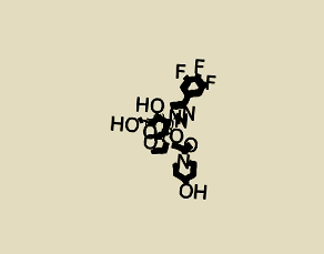 O=C(CO[C@H]1[C@@H](n2cc(-c3cc(F)c(F)c(F)c3)nn2)[C@@H](O)[C@@H](CO)O[C@@]12CCCO2)N1CCC(O)CC1